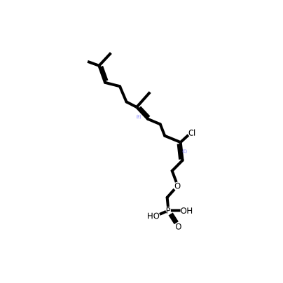 CC(C)=CCC/C(C)=C/CC/C(Cl)=C\COCP(=O)(O)O